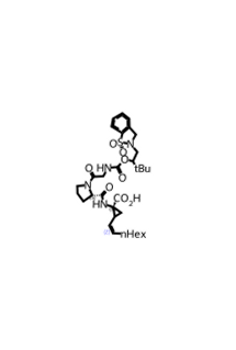 CCCCCC/C=C\C1C[C@]1(NC(=O)[C@@H]1CCCN1C(=O)CNC(=O)OC(CN1Cc2ccccc2S1(=O)=O)C(C)(C)C)C(=O)O